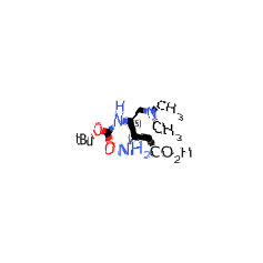 CN(C)C[C@H](NC(=O)OC(C)(C)C)[C@@H](N)CC(=O)O